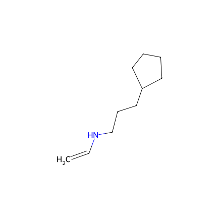 C=CNCCCC1CCCC1